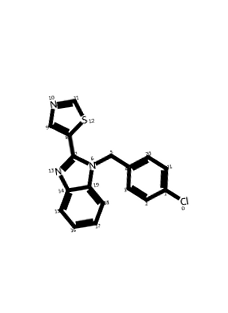 Clc1ccc(Cn2c(-c3cncs3)nc3ccccc32)cc1